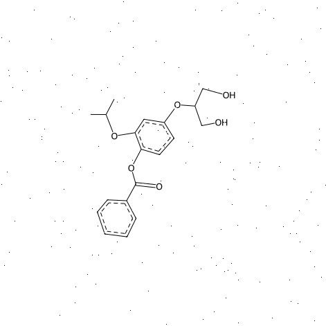 CC(C)Oc1cc(OC(CO)CO)ccc1OC(=O)c1ccccc1